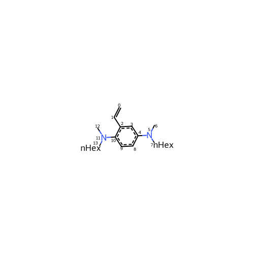 C=Cc1cc(N(C)CCCCCC)ccc1N(C)CCCCCC